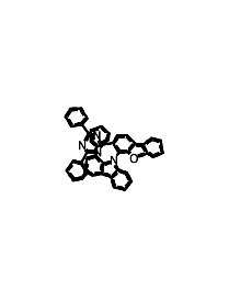 c1ccc(-c2nc(-c3ccccc3)nc(-c3ccc4c(oc5ccccc54)c3-n3c4ccccc4c4cccc(-c5ccccc5)c43)n2)cc1